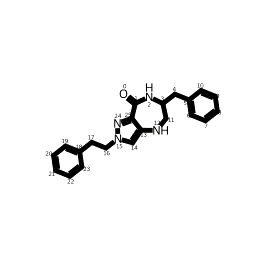 O=C1NC(Cc2ccccc2)CNc2cn(CCc3ccccc3)nc21